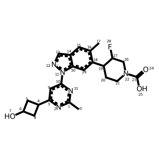 Cc1nc(C2CC(O)C2)cc(-n2ncc3cc(C)c(C4CCN(C(=O)O)CC4F)cc32)n1